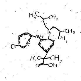 CC(C)CN(CC(C)C)c1ccc(C(C)(C)C(=O)O)cc1Nc1ccc(Cl)cn1